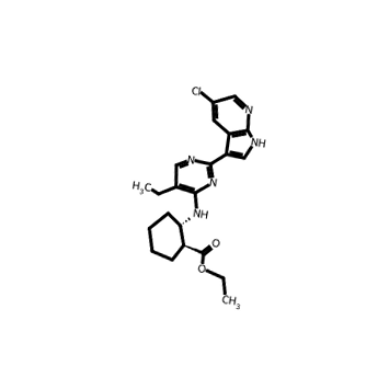 CCOC(=O)[C@H]1CCCC[C@@H]1Nc1nc(-c2c[nH]c3ncc(Cl)cc23)ncc1CC